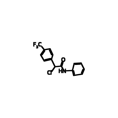 O=C(Nc1ccccc1)C(Cl)c1ccc(C(F)(F)F)cc1